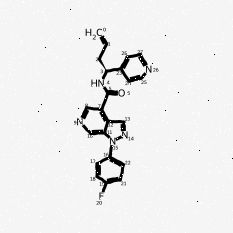 C=CC[C@H](NC(=O)c1cncc2c1cnn2-c1ccc(F)cc1)c1ccncc1